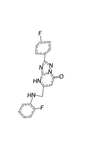 O=c1cc(CNc2ccccc2F)[nH]c2nc(-c3ccc(F)cc3)nn12